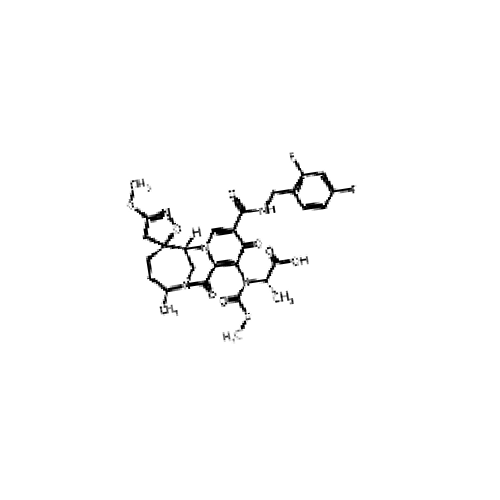 COC(=O)N(c1c2n(cc(C(=O)NCc3ccc(F)cc3F)c1=O)[C@@H]1CN(C2=O)[C@@H](C)CC[C@]12CC(OC)=NO2)[C@@H](C)C(=O)O